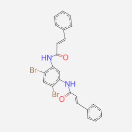 O=C(/C=C/c1ccccc1)Nc1cc(NC(=O)/C=C/c2ccccc2)c(Br)cc1Br